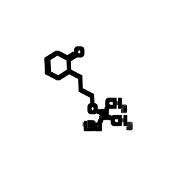 CC(C)(C)[Si](C)(C)OCCCC1CC=CCC1=O